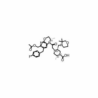 CC(=O)OCc1nc2c(cc1Cc1ccc(F)cc1)N(C(=O)CN1C[C@@H](C)N(C(=O)O)C[C@@H]1CN1CCOCC1(C)C)[C@@H](C)CO2